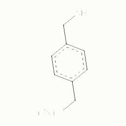 CCCCCCc1ccc(CS)cc1